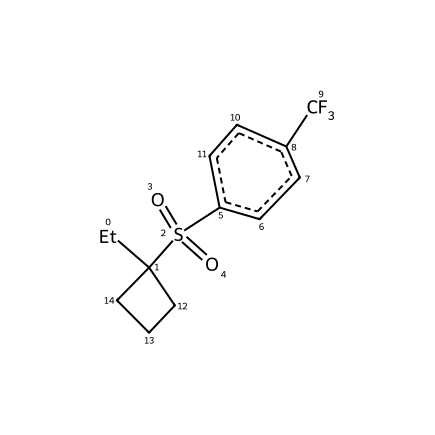 CCC1(S(=O)(=O)c2ccc(C(F)(F)F)cc2)CCC1